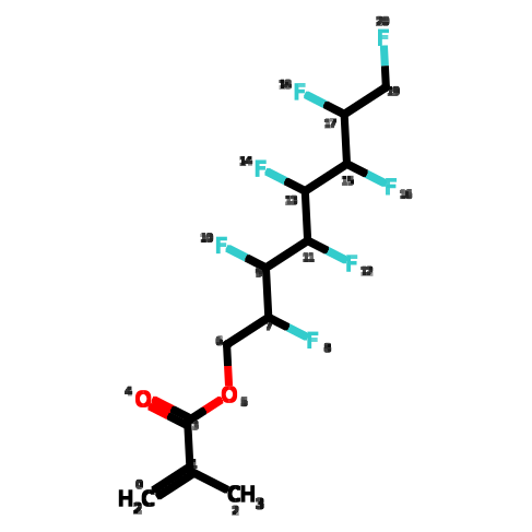 C=C(C)C(=O)OCC(F)C(F)C(F)C(F)C(F)C(F)CF